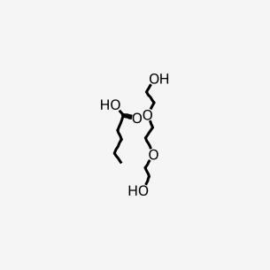 CCCCC(=O)O.OCCOCCOCCO